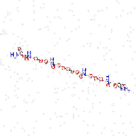 Nc1cc(OCCCC(=O)NCCCOCCOCCOCCCNC(=O)CCOCCOCCOCCOCCOCCC(=O)NCCCOCCOCCOCCCNC(=O)COc2ccc(C=O)c(N)c2)ccc1C=O